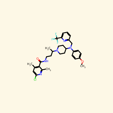 COc1ccc(N(Cc2cccc(C(F)(F)F)n2)C2CCN(C(C)CCNC(=O)c3c(C)cc(Cl)nc3C)CC2)cc1